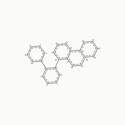 c1ccc(-c2ccccc2-c2cccc3c2ccc2ccccc23)cc1